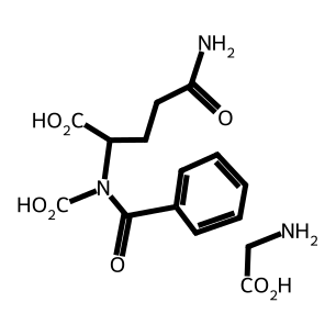 NC(=O)CCC(C(=O)O)N(C(=O)O)C(=O)c1ccccc1.NCC(=O)O